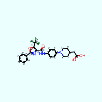 O=C(O)CC1CCN(c2ccc(NC(=O)c3nc(-c4ccccc4)oc3C(F)(F)F)cc2)CC1